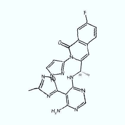 Cc1noc(-c2c(N)ncnc2N[C@@H](C)c2cc3ccc(F)cc3c(=O)n2-c2cc[nH]n2)n1